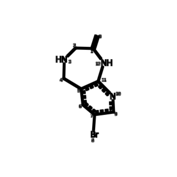 C=C1CNCc2cc(Br)cnc2N1